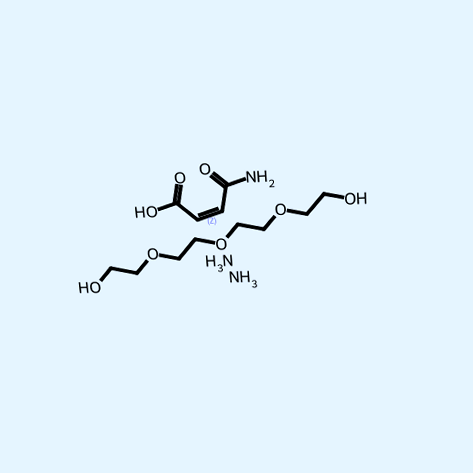 N.N.NC(=O)/C=C\C(=O)O.OCCOCCOCCOCCO